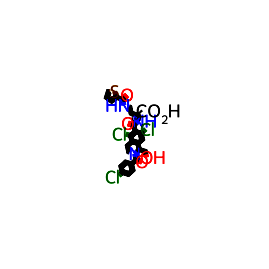 O=C(NCC[C@H](NC(=O)c1c(Cl)cc2c(c1Cl)CCN(C(=O)c1ccc(Cl)cc1)C2CO)C(=O)O)c1cccs1